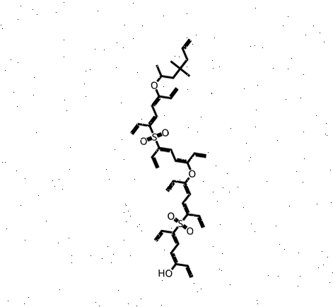 C=CCC(C)(C)CC(C)O/C(C=C)=C/C=C(\C=C)S(=O)(=O)/C(C=C)=C/C=C(\C=C)O/C(C=C)=C/C=C(\C=C)S(=O)(=O)/C(C=C)=C/C=C(/O)C=C